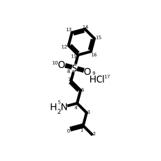 C=C(C)CC(N)/C=C/S(=O)(=O)c1ccccc1.Cl